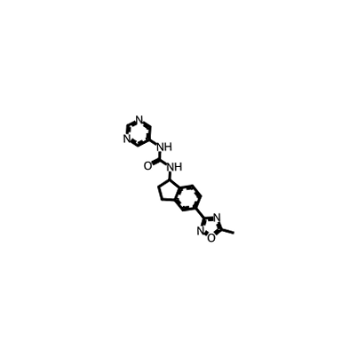 Cc1nc(-c2ccc3c(c2)CCC3NC(=O)Nc2cncnc2)no1